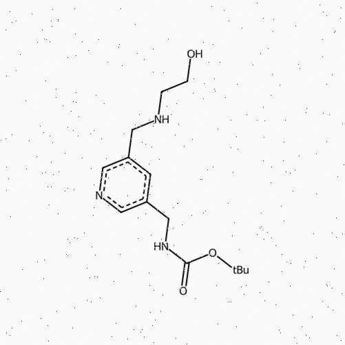 CC(C)(C)OC(=O)NCc1cncc(CNCCO)c1